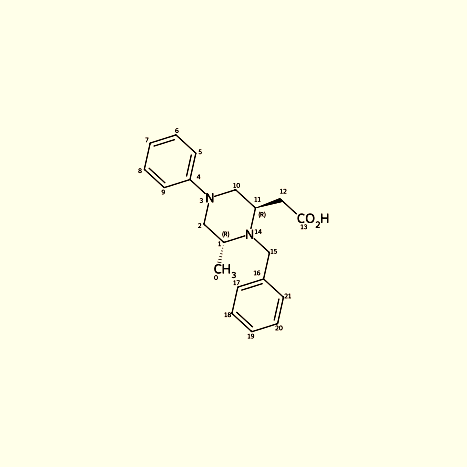 C[C@@H]1CN(c2ccccc2)C[C@@H](CC(=O)O)N1Cc1ccccc1